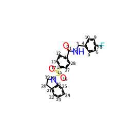 O=C(NCc1ccc(F)cc1)c1ccc(S(=O)(=O)N2CCc3ccccc32)cc1